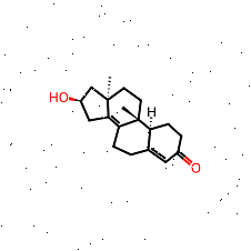 C[C@]12CC[C@@]3(C)C(=C1C[C@@H](O)C2)CCC1=CC(=O)CC[C@@H]13